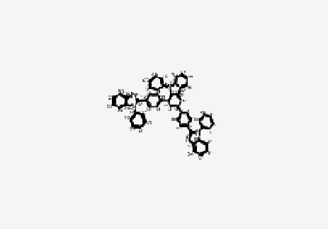 c1ccc(-n2c(-c3ccc(-c4cc(-c5ccc(-c6nc7ccccc7n6-c6ccccc6)cc5)c5c(c4)c4ccccc4n5-c4ccccc4)cc3)nc3ccccc32)cc1